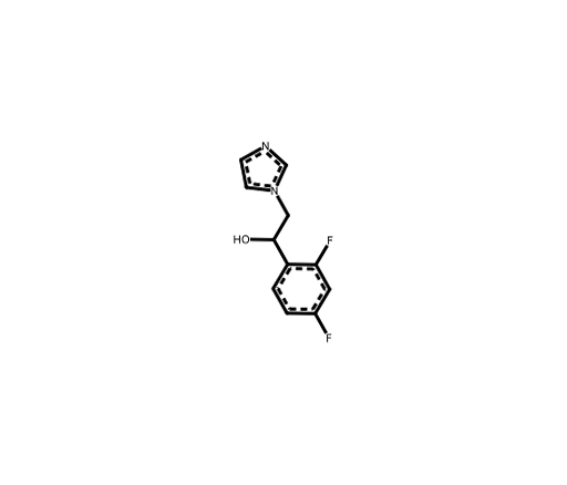 OC(Cn1ccnc1)c1ccc(F)cc1F